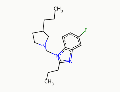 CCCc1nc2cc(F)ccc2n1CN1CCC(CCC)C1